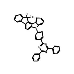 CC1(C)c2ccccc2-c2ccc3c(c21)c1ccccc1n3-c1ccc(-c2nc(-c3ccccc3)nc(-c3ccccc3)n2)cn1